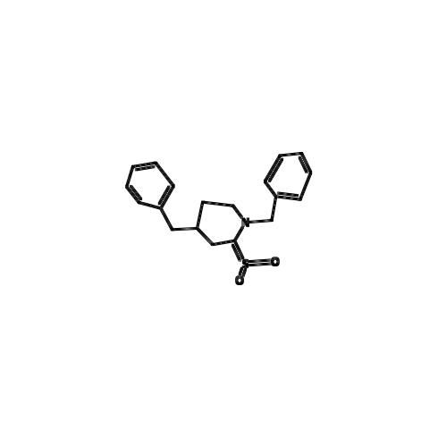 O=S(=O)=C1CC(Cc2ccccc2)CCN1Cc1ccccc1